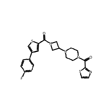 O=C(c1cc(-c2ccc(F)cc2)cs1)N1CC(N2CCN(C(=O)c3nccs3)CC2)C1